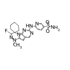 CN1N=C(F)C2(CCCCC2)n2c1cc1cnc(Nc3ccc(S(N)(=O)=O)cn3)nc12